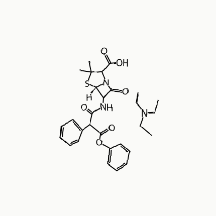 CC1(C)S[C@H]2C(NC(=O)C(C(=O)Oc3ccccc3)c3ccccc3)C(=O)N2C1C(=O)O.CCN(CC)CC